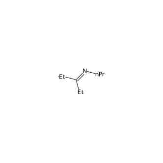 C[CH]C(CC)=NCCC